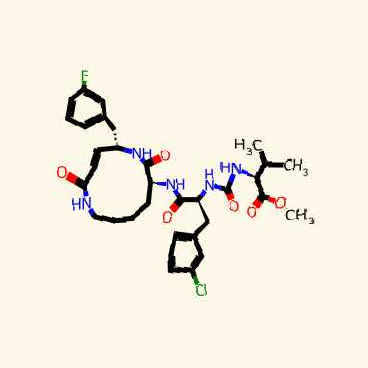 COC(=O)[C@@H](NC(=O)N[C@@H](Cc1cccc(Cl)c1)C(=O)N[C@H]1CCCCNC(=O)/C=C/[C@H](Cc2cccc(F)c2)NC1=O)C(C)C